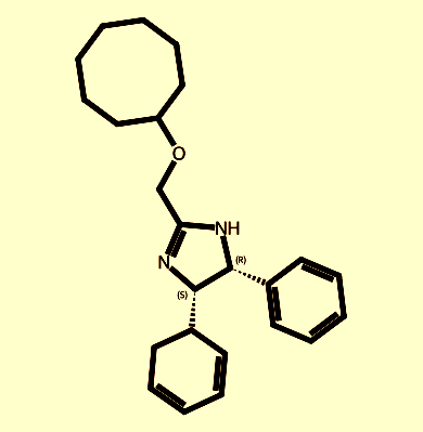 C1=CCC([C@@H]2N=C(COC3CCCCCCC3)N[C@@H]2c2ccccc2)C=C1